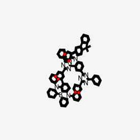 CC1(C)c2ccccc2-c2cc3c4ccccc4n(-c4ccc(-c5nc(-c6ccccc6)nc(-c6ccccc6)n5)cc4-c4nc(-c5ccccc5)nc(-c5cccc(-c6ccc7c8c6N(c6ccccc6)c6ccccc6B8c6ccccc6N7c6ccccc6)c5)n4)c3cc21